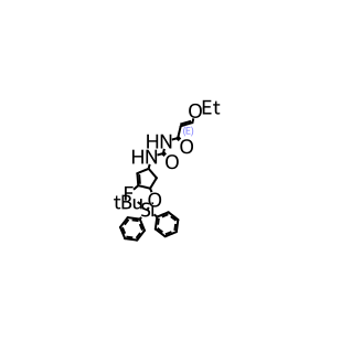 CCO/C=C/C(=O)NC(=O)NC1C=C(F)C(O[Si](c2ccccc2)(c2ccccc2)C(C)(C)C)C1